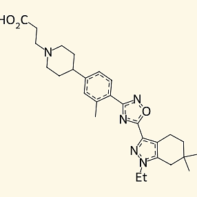 CCn1nc(-c2nc(-c3ccc(C4CCN(CCC(=O)O)CC4)cc3C)no2)c2c1CC(C)(C)CC2